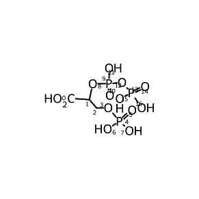 O=C(O)C(COP(=O)(O)O)OP(=O)(O)OP(=O)(O)O